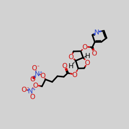 O=C(CCCC(CO[N+](=O)[O-])O[N+](=O)[O-])O[C@@H]1CO[C@H]2[C@@H]1OC[C@H]2OC(=O)c1cccnc1